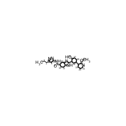 CCCn1cc(NC(=O)c2ccc3[nH]c(-c4cc(-c5cccnc5OC)ccc4O)nc3c2)nn1